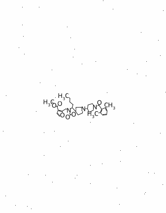 CCCCC1N(Cc2occc2C(=O)OC)C(=O)OC12CCN(C1CCN(C(=O)c3c(C)cccc3C)CC1)CC2